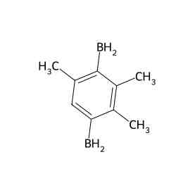 Bc1cc(C)c(B)c(C)c1C